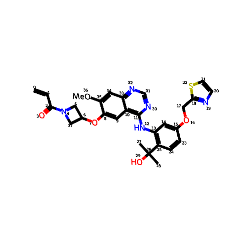 C=CC(=O)N1CC(Oc2cc3c(Nc4cc(OCc5nccs5)ccc4C(C)(C)O)ncnc3cc2OC)C1